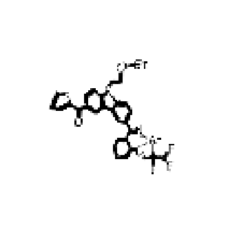 CCOCCn1c2ccc(C(=O)c3cccs3)cc2c2cc(/C(=N/OC(C)=O)c3ccccc3OCC(F)(F)C(F)F)ccc21